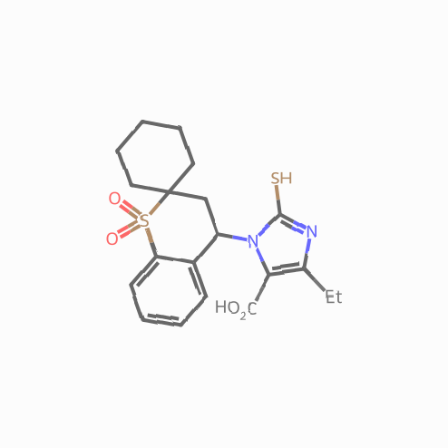 CCc1nc(S)n(C2CC3(CCCCC3)S(=O)(=O)c3ccccc32)c1C(=O)O